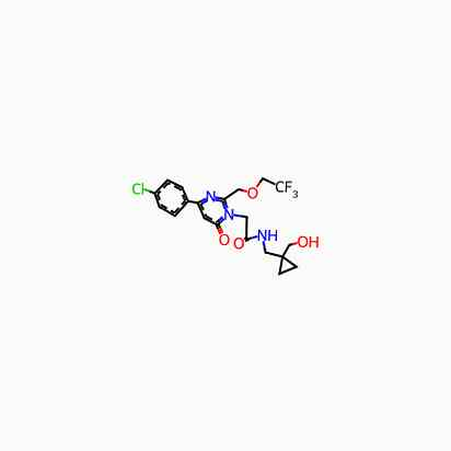 O=C(Cn1c(COCC(F)(F)F)nc(-c2ccc(Cl)cc2)cc1=O)NCC1(CO)CC1